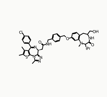 Cc1sc2c(c1C)C(c1ccc(Cl)cc1)=N[C@@H](CC(=O)NCc1ccc(COc3ccc4c(c3)N(C)C(C(C)C)C(=O)NC(CO)C4)cc1)c1nnc(C)n1-2